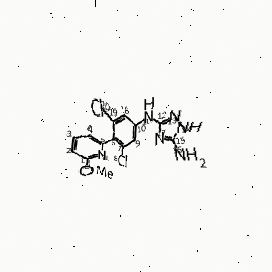 COc1cccc(-c2c(Cl)cc(Nc3n[nH]c(N)n3)cc2Cl)n1